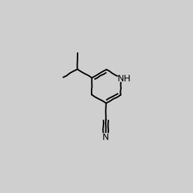 CC(C)C1=CNC=C(C#N)C1